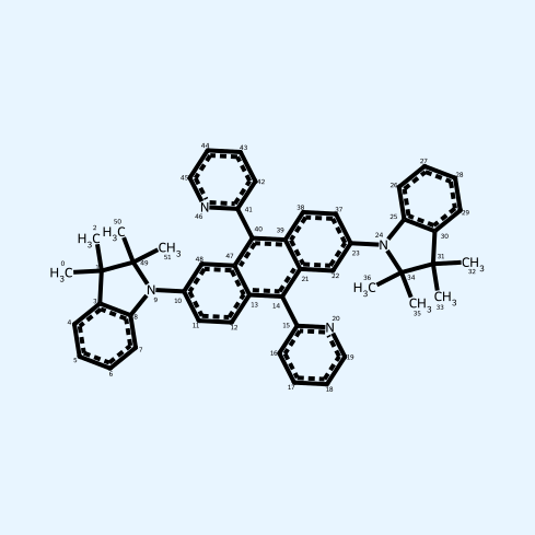 CC1(C)c2ccccc2N(c2ccc3c(-c4ccccn4)c4cc(N5c6ccccc6C(C)(C)C5(C)C)ccc4c(-c4ccccn4)c3c2)C1(C)C